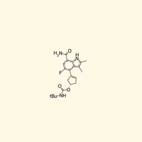 Cc1[nH]c2c(C(N)=O)cc(F)c(C3=CC[C@H](OC(=O)NC(C)(C)C)C3)c2c1C